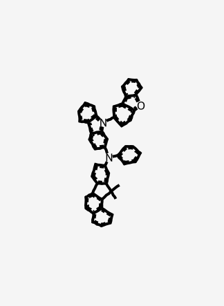 CC1(C)c2cc(N(c3ccccc3)c3ccc4c5ccccc5n(-c5ccc6oc7ccccc7c6c5)c4c3)ccc2-c2ccc3ccccc3c21